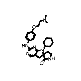 CN(C)CCOc1ccc(Nc2ncc3c(n2)N(C2CCCCC2)C2(CCNC2=O)C3)cc1